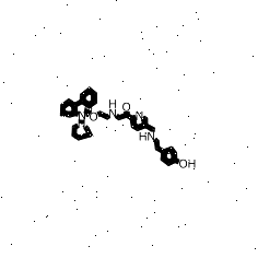 O=C(CNCCOC(=O)N(c1ccccc1-c1ccccc1)N1CC[CH]CC1)c1ccc(CNCCc2ccc(O)cc2)cn1